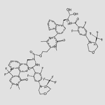 Cc1nc(-c2ccc(C[C@H](NC(=O)c3c(F)cc(N4CCOC[C@@H]4C(F)(F)F)cc3F)C(O)O)c3ccccc23)c(=O)n(C)c1CCOC(=O)[C@H](Cc1ccc(-c2c(C(F)(F)F)cc(C)n(C)c2=O)c2ncccc12)NC(=O)c1c(F)cc(N2CCOC[C@@H]2C(F)(F)F)cc1F